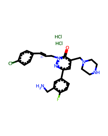 Cl.Cl.NCc1cc(-c2cc(CN3CCNCC3)c(=O)n(C/C=C/c3ccc(Cl)cc3)n2)ccc1F